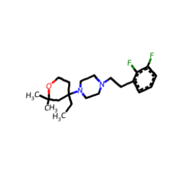 CCC1(N2CCN(CCc3cccc(F)c3F)CC2)CCOC(C)(C)C1